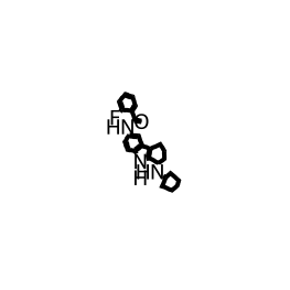 O=C(Nc1ccc2[nH]c3c(c2c1)CCCC3NC1CCCCC1)c1ccccc1F